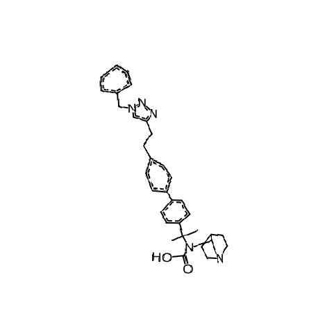 CC(C)(c1ccc(-c2ccc(CCc3cn(Cc4ccccc4)nn3)cc2)cc1)N(C(=O)O)C1CN2CCC1CC2